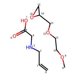 C=CCNCC(=O)O.COCCOCC1CO1